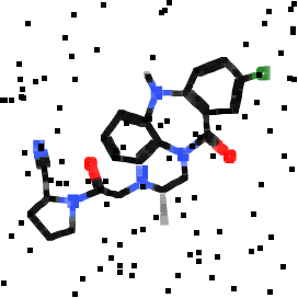 C[C@@H](CN1C(=O)c2cc(Cl)ccc2N(C)c2ccccc21)NCC(=O)N1CCCC1C#N